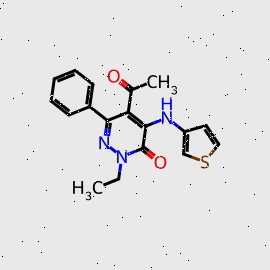 CCn1nc(-c2ccccc2)c(C(C)=O)c(Nc2ccsc2)c1=O